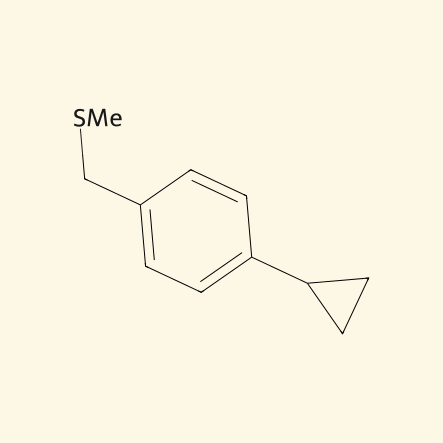 CSCc1ccc(C2CC2)cc1